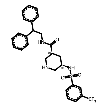 O=C(NCC(c1ccccc1)c1ccccc1)[C@@H]1CNC[C@H](NS(=O)(=O)c2cccc(C(F)(F)F)c2)C1